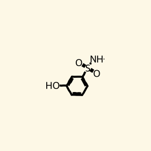 [NH]S(=O)(=O)c1cccc(O)c1